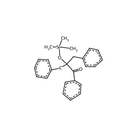 C[Si](C)(C)OC(Cc1ccccc1)(Cc1ccccc1)C(=O)c1ccccc1